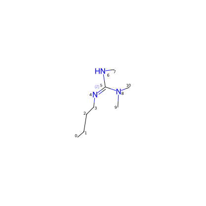 CCCC/N=C(/NC)N(C)C